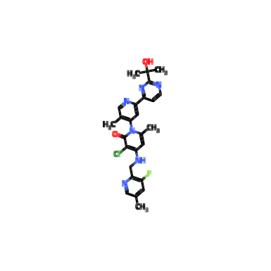 Cc1cnc(CNc2cc(C)n(-c3cc(-c4ccnc(C(C)(C)O)n4)ncc3C)c(=O)c2Cl)c(F)c1